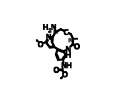 COC(=O)Nc1ccc2c(c1)NC(=O)[C@H](C)CCC[C@H](N)c1cc-2cc(OC)n1